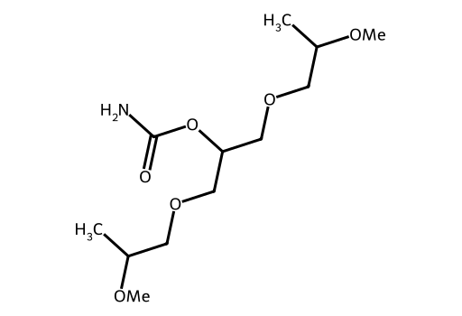 COC(C)COCC(COCC(C)OC)OC(N)=O